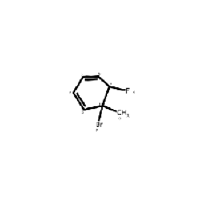 CC1(Br)C=CC=CC1F